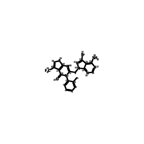 Cc1ccccc1-n1c(Cn2nc(Br)c3c(N)ncnc32)nc2scc(C(F)(F)F)c2c1=O